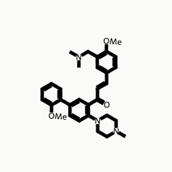 COc1ccc(C=CC(=O)c2cc(-c3ccccc3OC)ccc2N2CCN(C)CC2)cc1CN(C)C